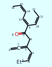 C=C=C(/C=C\CC)CC(=O)C(/C=C\C)=C/C=C\C